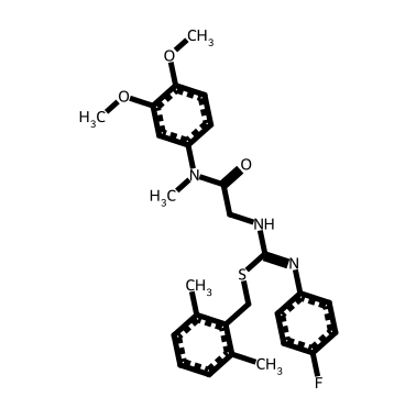 COc1ccc(N(C)C(=O)CNC(=Nc2ccc(F)cc2)SCc2c(C)cccc2C)cc1OC